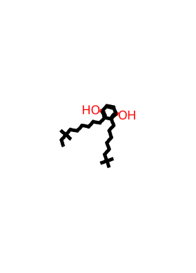 CCC(C)(C)CCCCCCc1c(O)ccc(O)c1CCCCCCC(C)(C)C